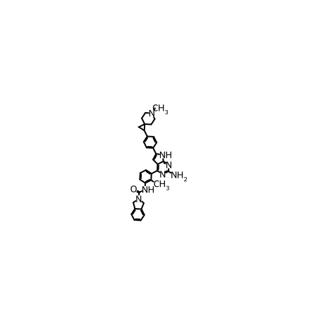 Cc1c(NC(=O)N2Cc3ccccc3C2)cccc1-c1nc(N)nc2[nH]c(-c3ccc(C4CC45CCN(C)CC5)cc3)cc12